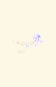 CC(C)(C)C1CCC(N(C(=O)c2ccc(OC(F)(F)F)cc2)C2CCc3cc(C(=O)NC(=N)NN=N)ccc32)CC1